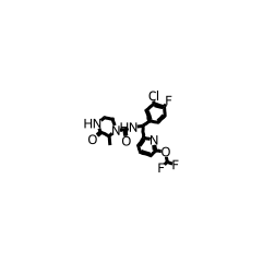 CC1C(=O)NCCN1C(=O)NC(c1ccc(F)c(Cl)c1)c1cccc(OC(F)F)n1